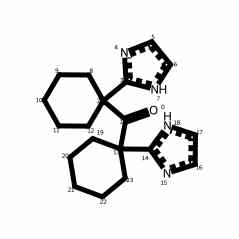 O=C(C1(c2ncc[nH]2)CCCCC1)C1(c2ncc[nH]2)CCCCC1